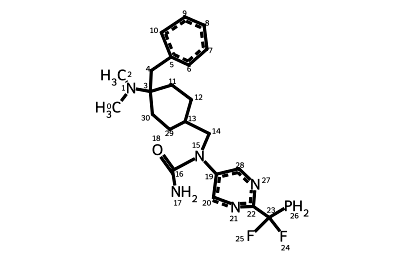 CN(C)C1(Cc2ccccc2)CCC(CN(C(N)=O)c2cnc(C(F)(F)P)nc2)CC1